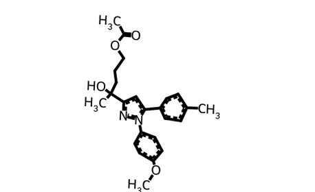 COc1ccc(-n2nc(C(C)(O)CCCOC(C)=O)cc2-c2ccc(C)cc2)cc1